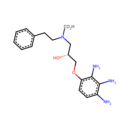 Nc1ccc(OC[C@H](O)CN(CCc2ccccc2)C(=O)O)c(N)c1N